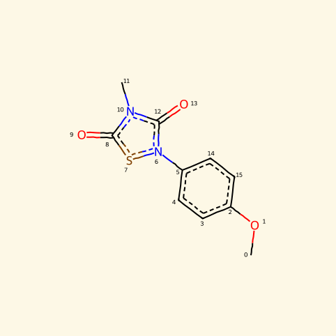 COc1ccc(-n2sc(=O)n(C)c2=O)cc1